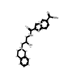 CNC(=O)c1ccc2nc(C(=O)NCC(O)CN3CCc4ccccc4C3)cn2c1